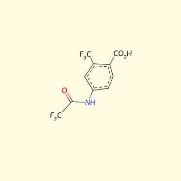 O=C(O)c1ccc(NC(=O)C(F)(F)F)cc1C(F)(F)F